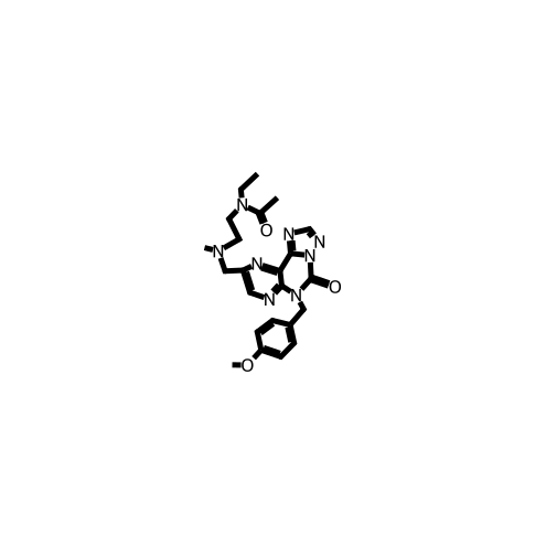 CCN(CCN(C)Cc1cnc2c(n1)c1ncnn1c(=O)n2Cc1ccc(OC)cc1)C(C)=O